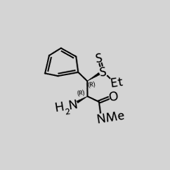 CCS(=S)[C@H](c1ccccc1)[C@H](N)C(=O)NC